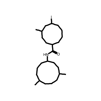 CC1CCCC(C)CCC(NC(=O)C2CCCCC(I)CC(C)CC2)CCC1